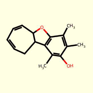 Cc1c(C)c2c(c(C)c1O)C1CC=CC=CC1O2